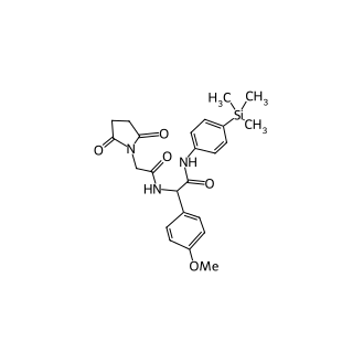 COc1ccc(C(NC(=O)CN2C(=O)CCC2=O)C(=O)Nc2ccc([Si](C)(C)C)cc2)cc1